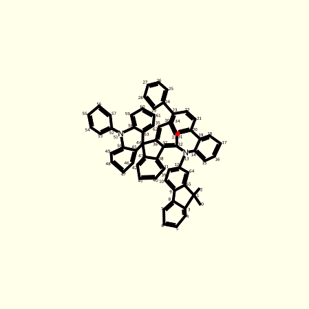 CC1(C)c2ccccc2-c2ccc(N(c3ccccc3-c3ccc(-c4ccccc4)cc3)c3cccc4c3-c3ccccc3C43c4ccccc4N(c4ccccc4)c4ccccc43)cc21